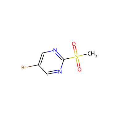 CS(=O)(=O)c1n[c]c(Br)cn1